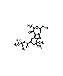 CN1OC(CO)Cn2nc3c(c2C1=O)CN(C(=O)OC(C)(C)C)CC3(C)C